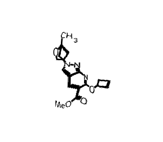 COC(=O)c1cc2cn(C34COC(C)(C3)C4)nc2nc1OC1CCC1